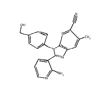 Cc1cc2nc(-c3cccnc3N)n(-c3ccc(CO)cc3)c2nc1C#N